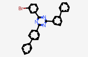 Brc1cccc(-c2nc(-c3ccc(-c4ccccc4)cc3)nc(-c3cccc(-c4ccccc4)c3)n2)c1